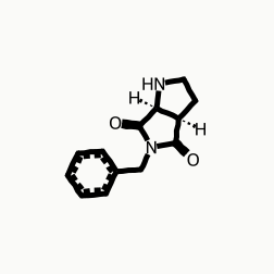 O=C1[C@H]2NCC[C@H]2C(=O)N1Cc1ccccc1